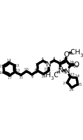 COc1c(CN2CCC(CCCc3ccccc3)CC2)n(C)n(C2CCCC2)c1=O